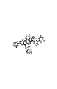 O=C1c2cccc(-n3c4ccc(-c5cncnc5)cc4c4cc(-c5cncnc5)ccc43)c2C(=O)N1c1cccc(-c2ccccc2)c1